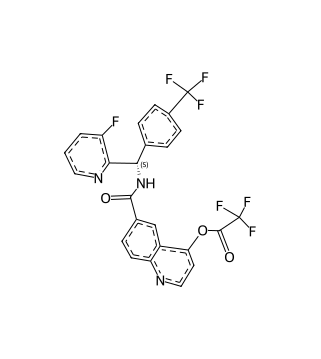 O=C(N[C@@H](c1ccc(C(F)(F)F)cc1)c1ncccc1F)c1ccc2nccc(OC(=O)C(F)(F)F)c2c1